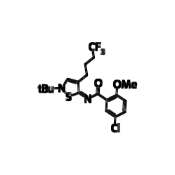 COc1ccc(Cl)cc1C(=O)N=c1sn(C(C)(C)C)cc1CCCC(F)(F)F